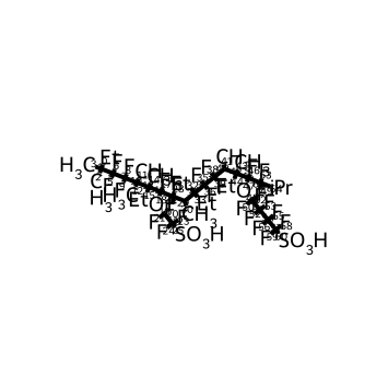 CCC(C)(C)C(F)(F)C(F)(F)C(C)(C)C(C)(CC)C(F)(OC(F)(F)C(F)(F)S(=O)(=O)O)C(F)(F)C(C)C(CC)(CC)C(F)(F)C(F)(F)C(C)C(C)(CC)C(F)(OC(F)(F)C(F)(F)C(F)(F)C(F)(F)S(=O)(=O)O)C(F)(F)C(C)C